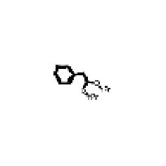 CCCOC(Cc1ccccc1)OCCC